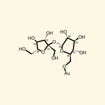 OC[C@H]1O[C@@](CO)(O[C@H]2O[C@H](C[O][Au])[C@@H](O)[C@H](O)[C@H]2O)[C@@H](O)[C@@H]1O